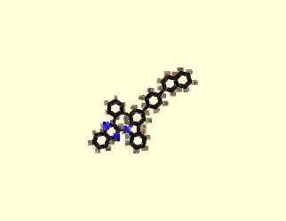 c1ccc2c(c1)-c1nc3ccccc3nc1-n1c3ccccc3c3cc(-c4ccc(-c5ccc6ccccc6c5)cc4)cc-2c31